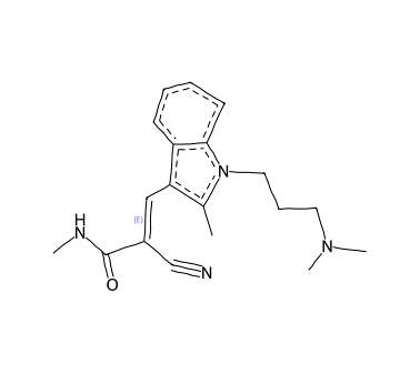 CNC(=O)/C(C#N)=C/c1c(C)n(CCCN(C)C)c2ccccc12